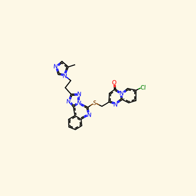 Cc1cncn1CCc1nc2c3ccccc3nc(SCc3cc(=O)n4cc(Cl)ccc4n3)n2n1